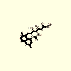 CC[C@H](C)C(=O)Oc1cc(C)cc2ccc(C)c(CC[C@@H](O)C[C@@H](O)CC(=O)NO)c12